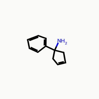 NC1(c2ccccc2)CC=CC1